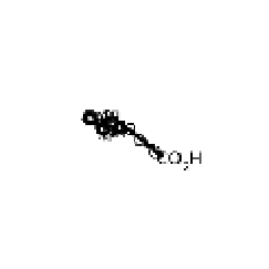 C[C@@H]1Cc2c([nH]c3ccccc23)[C@@](CC(F)(F)F)(c2c(F)cc(OCCOCCCOCC(=O)O)cc2F)N1